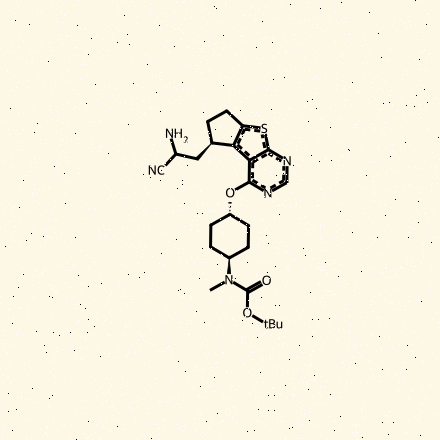 CN(C(=O)OC(C)(C)C)[C@H]1CC[C@H](Oc2ncnc3sc4c(c23)[C@@H](CC(N)C#N)CC4)CC1